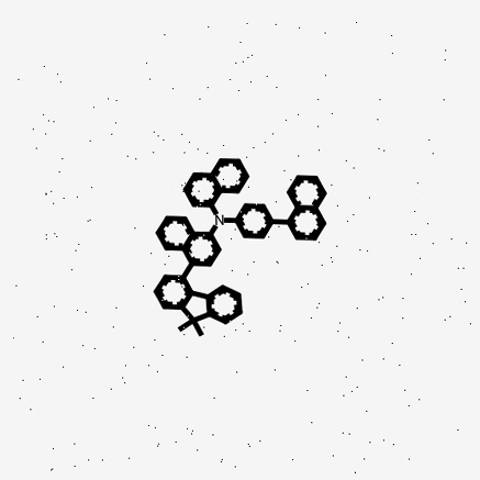 CC1(C)c2ccccc2-c2c(-c3ccc(N(c4ccc(-c5cccc6ccccc56)cc4)c4cccc5ccccc45)c4ccccc34)cccc21